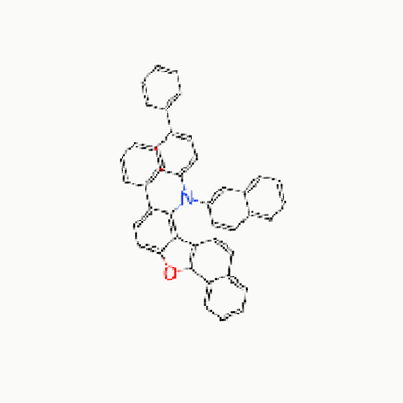 c1ccc(-c2ccc(N(c3ccc4ccccc4c3)c3c(-c4ccccc4)ccc4oc5c6ccccc6ccc5c34)cc2)cc1